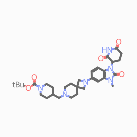 Cn1c(=O)n(C2CCC(=O)NC2=O)c2ccc(N3CC4(CCN(CC5CCN(C(=O)OC(C)(C)C)CC5)CC4)C3)cc21